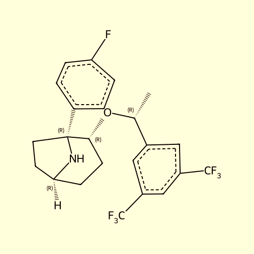 C[C@@H](O[C@@H]1CC[C@H]2CC[C@]1(c1ccc(F)cc1)N2)c1cc(C(F)(F)F)cc(C(F)(F)F)c1